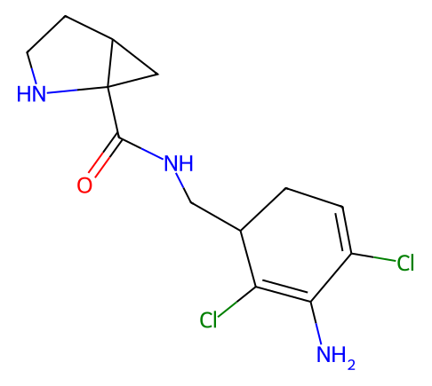 NC1=C(Cl)C(CNC(=O)C23CC2CCN3)CC=C1Cl